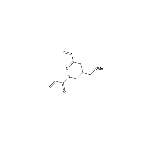 C=CC(=O)OCC(COC)OC(=O)C=C